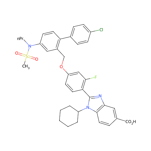 CCCN(c1ccc(-c2ccc(Cl)cc2)c(COc2ccc(-c3nc4cc(C(=O)O)ccc4n3C3CCCCC3)c(F)c2)c1)S(C)(=O)=O